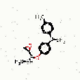 BBB(Oc1ccc(B(B)c2ccc(C)cc2)cc1)C1CO1